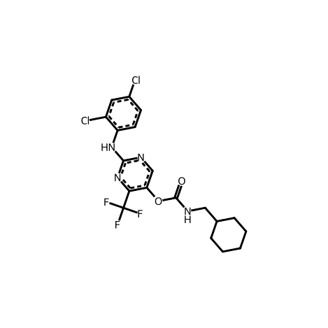 O=C(NCC1CCCCC1)Oc1cnc(Nc2ccc(Cl)cc2Cl)nc1C(F)(F)F